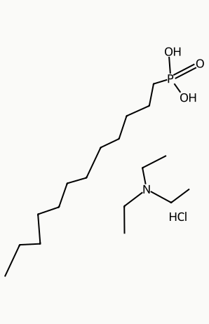 CCCCCCCCCCCCP(=O)(O)O.CCN(CC)CC.Cl